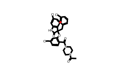 CC(=O)N1CCN(C(=O)c2ccc(Cl)cc2OC2(Cc3cccc(Cl)c3)C(=O)Nc3cc(Cl)ccc32)CC1